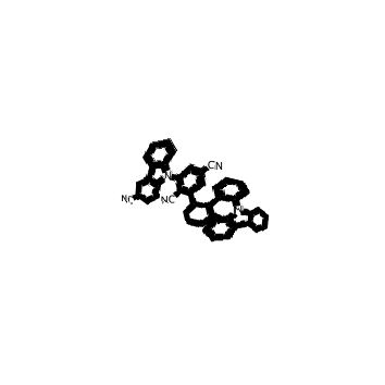 C=C1C=CC=C(c2cc(C#N)cc(-n3c4ccccc4c4cc(C#N)ccc43)c2C#N)C1c1ccccc1-n1c2ccccc2c2ccccc21